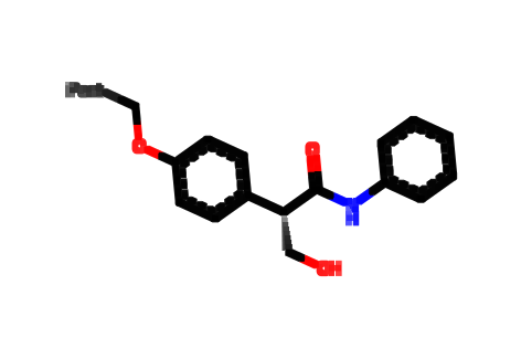 CCCC(C)COc1ccc([C@@H](CO)C(=O)Nc2ccccc2)cc1